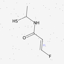 CC(S)NC(=O)/C=C/F